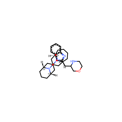 c1ccc2c(c1)nc(CC1COCCN1)n2C1C[C@H]2CCC[C@@H](C1)N2C1C[C@H]2CCCC[C@@H](C1)C2